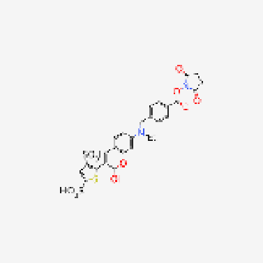 CCN(Cc1ccc(C(=O)ON2C(=O)CCC2=O)cc1)c1ccc2c(c1)OC(O)C(c1sc(S(=O)(=O)O)cc1S(=O)(=O)O)=C2